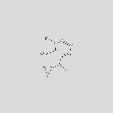 COc1c(C(C)C)cccc1C(C)C1CC1